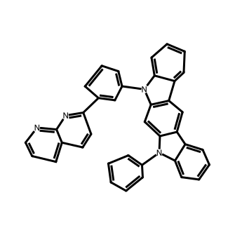 c1ccc(-n2c3ccccc3c3cc4c5ccccc5n(-c5cccc(-c6ccc7cccnc7n6)c5)c4cc32)cc1